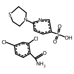 NC(=O)c1ccc(Cl)cc1Cl.O=S(=O)(O)c1ccc(N2CCSCC2)nc1